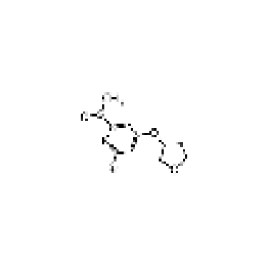 C[S+]([O-])c1cc(OC2CCOC2)cc(Br)n1